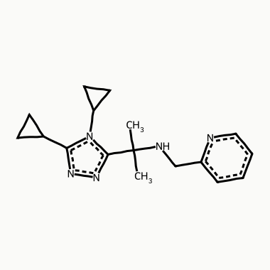 CC(C)(NCc1ccccn1)c1nnc(C2CC2)n1C1CC1